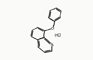 Cl.c1ccc(Oc2cccc3cccnc23)cc1